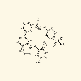 NS(=O)(=O)c1ccc(CNC(=O)c2cccc(-c3cnc4c(c3)N(Cc3cc(Cl)ccc3C(F)(F)F)CCN4)c2)cc1